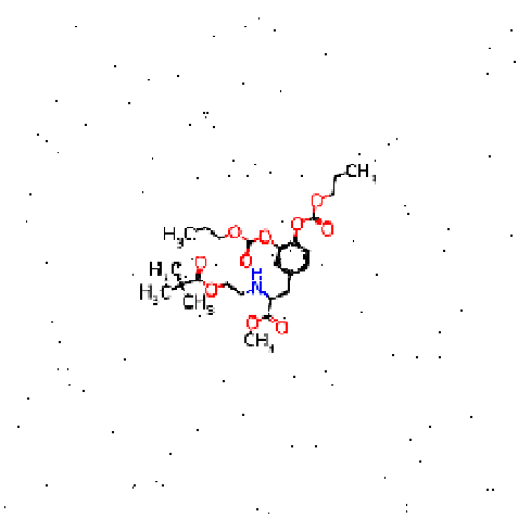 CCCOC(=O)Oc1ccc(C[C@H](NCCOC(=O)C(C)(C)C)C(=O)OC)cc1OC(=O)OCCC